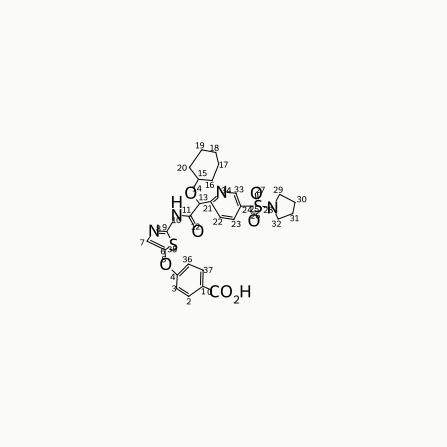 O=C(O)c1ccc(Oc2cnc(NC(=O)C(OC3CCCCC3)c3ccc(S(=O)(=O)N4CCCC4)cn3)s2)cc1